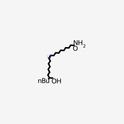 CCCCC(CO)CCCCCC/C=C\CCCCCCCCC(N)=O